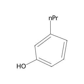 [CH2]CCc1cccc(O)c1